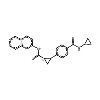 O=C(NC1CC1)c1ccc(C2C[C@H]2C(=O)Nc2ccc3cnccc3c2)cc1